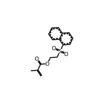 C=C(C)C(=O)OCCS(=O)(=O)c1cccc2ccccc12